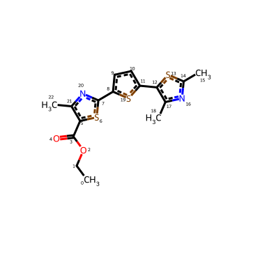 CCOC(=O)c1sc(-c2ccc(-c3sc(C)nc3C)s2)nc1C